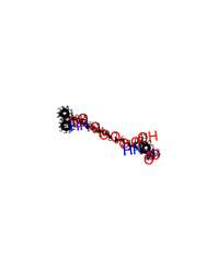 O=C(CCOCCOCCOCCOCCNC(=O)OCC1c2ccccc2-c2ccccc21)Nc1cc([N+](=O)[O-])ccc1CO